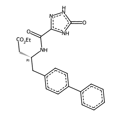 CCOC(=O)C[C@@H](Cc1ccc(-c2ccccc2)cc1)NC(=O)c1n[nH]c(=O)[nH]1